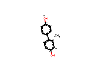 C.Oc1ccc(-c2ccc(O)cc2)cc1